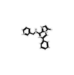 Ic1cnc2c(NCc3cccnc3)nc(-c3ccccc3)cn12